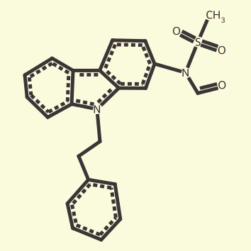 CS(=O)(=O)N(C=O)c1ccc2c3ccccc3n(CCc3ccccc3)c2c1